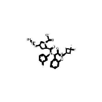 N=[N+]=NC1CC(C(=O)N(c2cccc(F)c2)[C@H](C(=O)NC2CC(F)(F)C2)c2ccccc2Cl)N(C(=O)[O-])C1